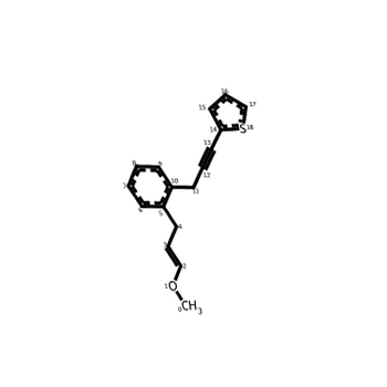 CO/C=C/Cc1ccccc1CC#Cc1cccs1